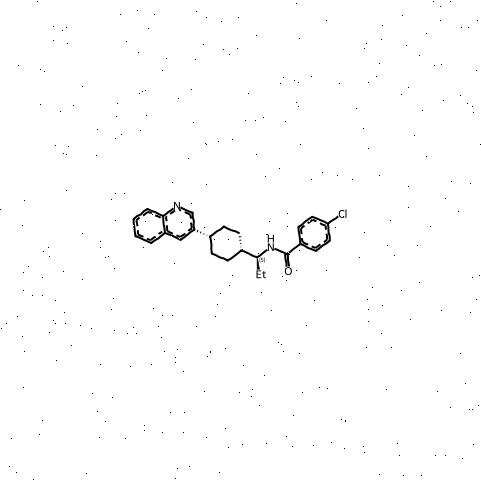 CC[C@H](NC(=O)c1ccc(Cl)cc1)[C@H]1CC[C@@H](c2cnc3ccccc3c2)CC1